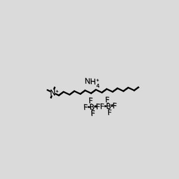 CCCCCCCCCCCCCCCC[N+](C)(C)C.F[B-](F)(F)F.F[B-](F)(F)F.[NH4+]